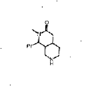 CC(C)C1C2CNCCC2CC(=O)N1C